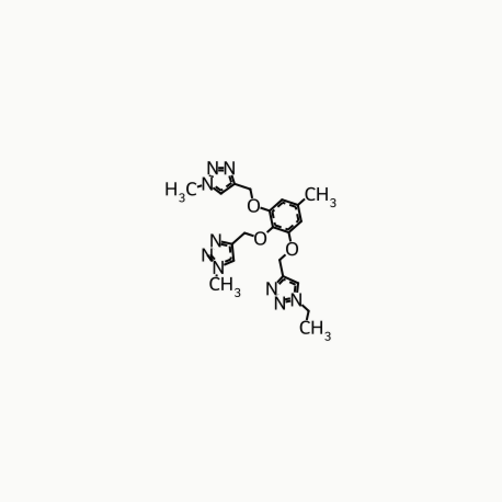 CCn1cc(COc2cc(C)cc(OCc3cn(C)nn3)c2OCc2cn(C)nn2)nn1